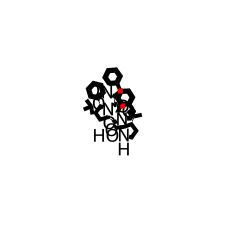 CC(=O)[C@@H]1CCNC1(C(=O)O)[N+]1(C(=O)[C@@H]2CC[C@H](c3ccccc3)N2C(=O)[C@H]2Cc3ccccc3N2C(=O)OC(C)(C)C)CCc2ccccc2C1